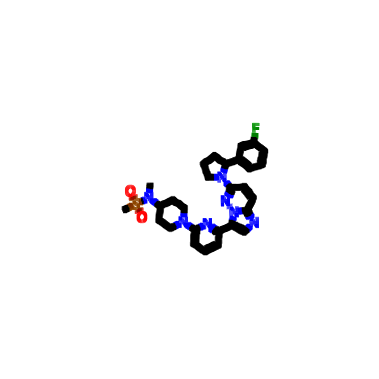 CN(C1CCN(c2cccc(-c3cnc4ccc(N5CCCC5c5cccc(F)c5)nn34)n2)CC1)S(C)(=O)=O